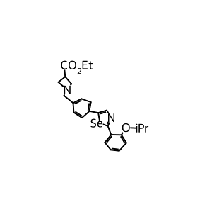 CCOC(=O)C1CN(Cc2ccc(-c3cnc(-c4ccccc4OC(C)C)[se]3)cc2)C1